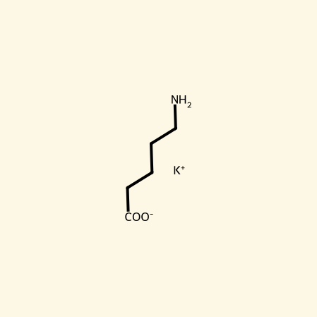 NCCCCC(=O)[O-].[K+]